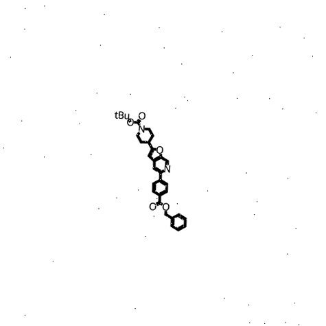 CC(C)(C)OC(=O)N1CCC(c2cc3cc(-c4ccc(C(=O)OCc5ccccc5)cc4)ncc3o2)CC1